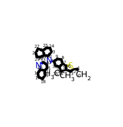 C=Cc1cc2c(s1)-c1ccc(N(c3cnc4ccccc4c3)c3cccc4ccccc34)cc1C2(C)C